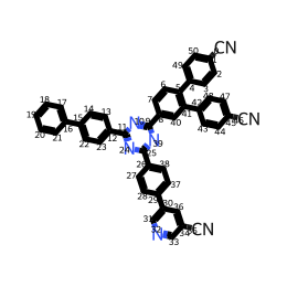 N#Cc1ccc(-c2ccc(-c3nc(-c4ccc(-c5ccccc5)cc4)nc(-c4ccc(-c5cncc(C#N)c5)cc4)n3)cc2-c2ccc(C#N)cc2)cc1